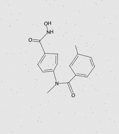 Cc1cccc(C(=O)N(C)c2ccc(C(=O)NO)cc2)c1